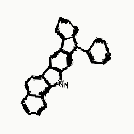 c1ccc(C2c3ccccc3-c3cc4c(cc32)[nH]c2c3ccccc3ccc42)cc1